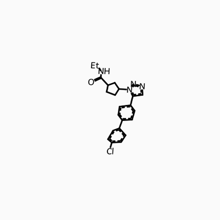 CCNC(=O)C1CCC(n2nncc2-c2ccc(-c3ccc(Cl)cc3)cc2)C1